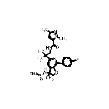 Cn1nc(C(F)(F)F)cc1C(=O)NCC(O)(c1cc2c(c(-c3ccc(F)cc3)n1)OCC2(C)N[S+]([O-])C(C)(C)C)C(F)(F)F